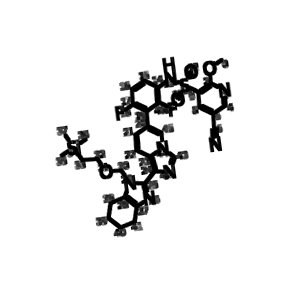 COc1ncc(C#N)cc1S(=O)(=O)Nc1ccc(F)c(-c2ccc3c(-c4nc5c(n4COCC[Si](C)(C)C)CCCC5)ncn3c2)c1F